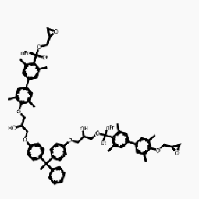 CCCC(CC)(OCC(O)COc1ccc(C(C)(c2ccccc2)c2ccc(OCC(O)COc3c(C)cc(-c4cc(C)c(C(CC)(CCC)OCC5CO5)c(C)c4)cc3C)cc2)cc1)c1c(C)cc(-c2cc(C)c(OCC3CO3)c(C)c2)cc1C